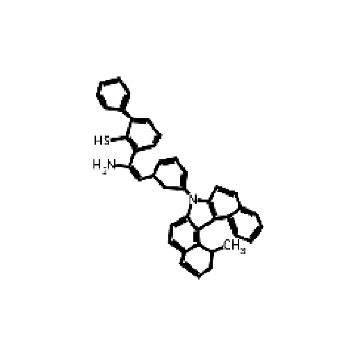 CC1CC=Cc2ccc3c(c21)c1c2ccccc2ccc1n3C1=CC=CC(/C=C(/N)c2cccc(-c3ccccc3)c2S)C1